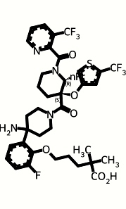 CCC[C@H]1N(C(=O)c2ncccc2C(F)(F)F)CCC[C@@]1(Oc1csc(C(F)(F)F)c1)C(=O)N1CCC(N)(c2cccc(F)c2OCCCC(C)(C)C(=O)O)CC1